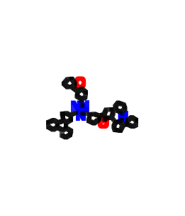 c1ccc(-n2c3ccccc3c3cccc(-c4cccc5c4oc4ccc(-c6nc(-c7ccc8oc9ccccc9c8c7)nc(-c7ccc8c9ccccc9c9ccccc9c8c7)n6)cc45)c32)cc1